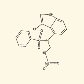 O=[SH](=O)NCN(c1cccc2[nH]cc(Cl)c12)S(=O)(=O)c1ccccc1